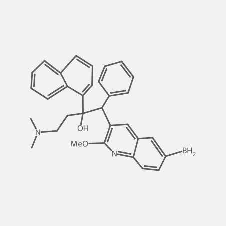 Bc1ccc2nc(OC)c(C(c3ccccc3)C(O)(CCN(C)C)c3cccc4ccccc34)cc2c1